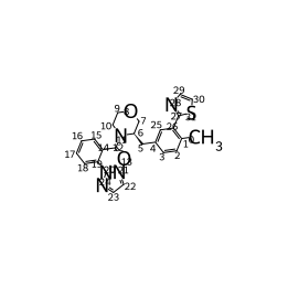 Cc1ccc(C[C@@H]2COCCN2C(=O)c2ccccc2-n2nccn2)cc1-c1nccs1